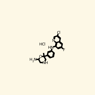 CC1(c2cccc(Nc3cc(F)cc4cc(Cl)cnc34)c2)CNCC(N)O1.Cl